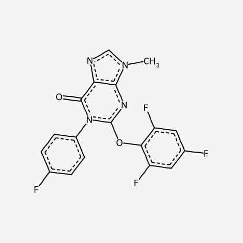 Cn1cnc2c(=O)n(-c3ccc(F)cc3)c(Oc3c(F)cc(F)cc3F)nc21